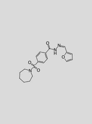 O=C(N/N=C\c1ccco1)c1ccc(S(=O)(=O)N2CCCCCC2)cc1